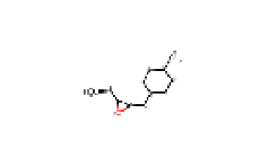 C=CC1OC1CC1CCC(C)CC1